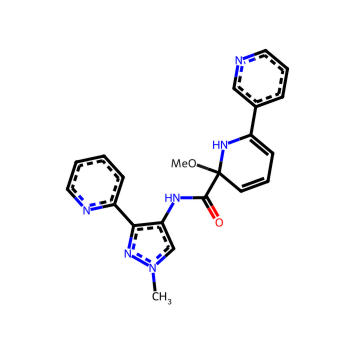 COC1(C(=O)Nc2cn(C)nc2-c2ccccn2)C=CC=C(c2cccnc2)N1